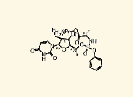 CC(C)OC(=O)[C@H](C)NP(=O)(Oc1ccccc1)O[C@@H](C)[C@H]1O[C@@H](n2ccc(=O)[nH]c2=O)[C@@](N)(CF)C1O